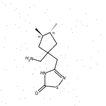 C[C@@H]1CC(CN)(Cc2nsc(=O)[nH]2)C[C@H]1C